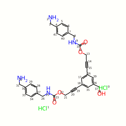 Cl.Cl.NCc1ccc(CNC(=O)OCC#Cc2cc(C#CCOC(=O)NCc3ccc(CN)cc3)cc(CO)c2)cc1